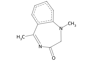 CC1=NC(=O)CN(C)c2ccccc21